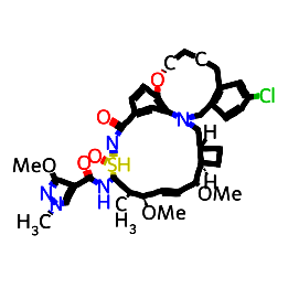 COc1nn(C)cc1C(=O)NC1[C@@H](C)[C@@H](OC)/C=C/[C@H](OC)[C@@H]2CC[C@H]2CN2Cc3ccc(Cl)cc3CCCCOc3ccc(cc32)C(=O)/N=[SH]\1=O